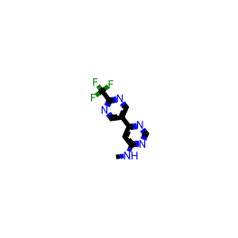 CNc1cc(-c2cnc(C(F)(F)F)nc2)ncn1